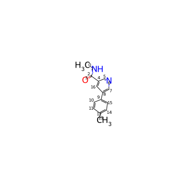 CNC(=O)c1cncc(-c2ccc(C)cc2)c1